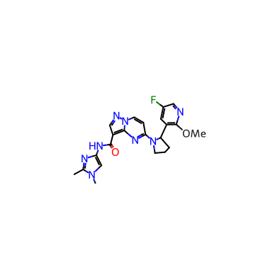 COc1ncc(F)cc1C1CCCN1c1ccn2ncc(C(=O)Nc3cn(C)c(C)n3)c2n1